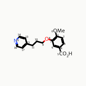 COc1ccc(C(=O)O)cc1OCCCc1ccncc1